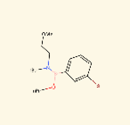 CCCCN(CCOC)B(OCCC)c1cccc(Br)c1